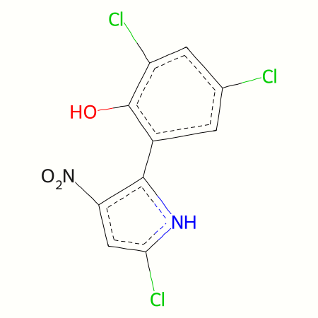 O=[N+]([O-])c1cc(Cl)[nH]c1-c1cc(Cl)cc(Cl)c1O